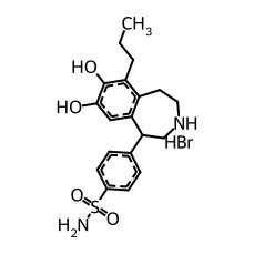 Br.CCCc1c(O)c(O)cc2c1CCNCC2c1ccc(S(N)(=O)=O)cc1